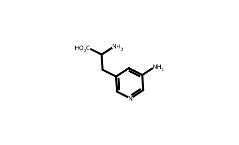 Nc1cncc(CC(N)C(=O)O)c1